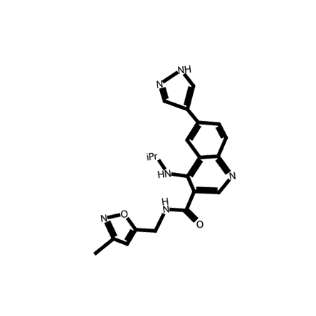 Cc1cc(CNC(=O)c2cnc3ccc(-c4cn[nH]c4)cc3c2NC(C)C)on1